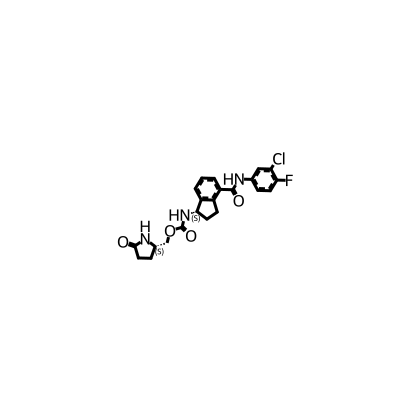 O=C1CC[C@@H](COC(=O)N[C@H]2CCc3c(C(=O)Nc4ccc(F)c(Cl)c4)cccc32)N1